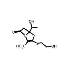 CC(O)C12CC(=O)N1C(C(=O)O)=C(SCCO)S2